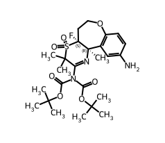 CC(C)(C)OC(=O)N(C(=O)OC(C)(C)C)C1=N[C@]2(C)c3cc(N)ccc3OCC[C@]2(F)S(=O)(=O)C1(C)C